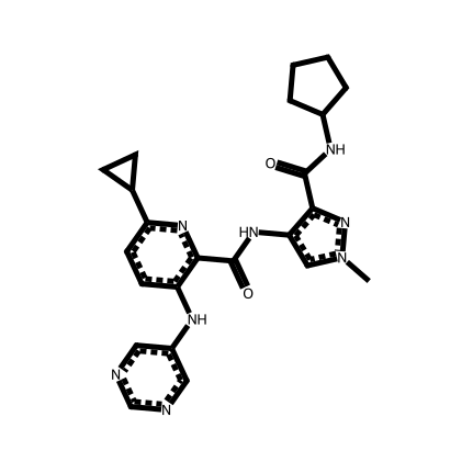 Cn1cc(NC(=O)c2nc(C3CC3)ccc2Nc2cncnc2)c(C(=O)NC2CCCC2)n1